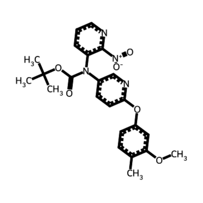 COc1cc(Oc2ccc(N(C(=O)OC(C)(C)C)c3cccnc3[N+](=O)[O-])cn2)ccc1C